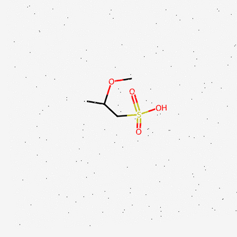 [CH2]C(CS(=O)(=O)O)OC